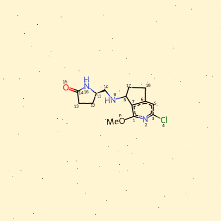 COc1nc(Cl)cc2c1C(NC[C@H]1CCC(=O)N1)CC2